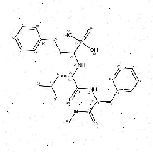 CNC(=O)[C@H](Cc1ccccc1)NC(=O)[C@H](CC(C)C)NC(CCc1ccccc1)P(=O)(O)O